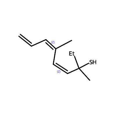 C=C/C=C(C)\C=C/C(C)(S)CC